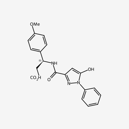 COc1ccc([C@H](CC(=O)O)NC(=O)c2cc(O)n(-c3ccccc3)n2)cc1